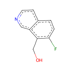 OCc1c(F)ccc2ccncc12